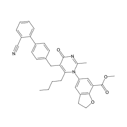 CCCCc1c(Cc2ccc(-c3ccccc3C#N)cc2)c(=O)nc(C)n1-c1cc2c(c(C(=O)OC)c1)OCC2